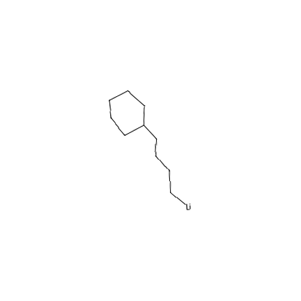 [Li][CH2]CCCC1CCCCC1